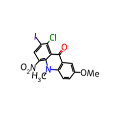 COc1ccc2c(c1)c(=O)c1c(Cl)c(I)cc([N+](=O)[O-])c1n2C